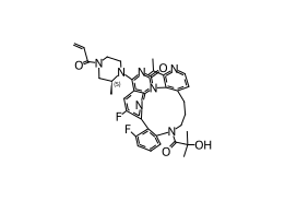 C=CC(=O)N1CCN(c2nc(=O)n3c4nc(c(F)cc24)-c2c(F)cccc2N(C(=O)C(C)(C)O)CCCc2ccnc(C(C)C)c2-3)[C@@H](C)C1